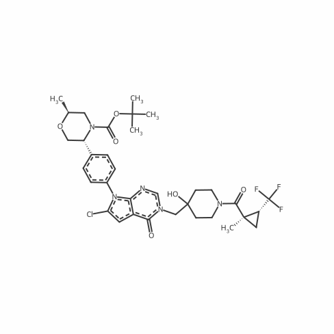 C[C@H]1CN(C(=O)OC(C)(C)C)[C@H](c2ccc(-n3c(Cl)cc4c(=O)n(CC5(O)CCN(C(=O)[C@]6(C)C[C@H]6C(F)(F)F)CC5)cnc43)cc2)CO1